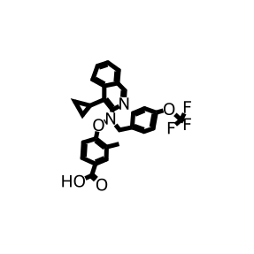 Cc1cc(C(=O)O)ccc1ON(Cc1ccc(OC(F)(F)F)cc1)c1ncc2ccccc2c1C1CC1